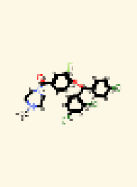 CN1CCN(C(=O)c2ccc(OC(c3ccc(Cl)cc3)c3ccc(Cl)cc3Cl)c(F)c2)CC1